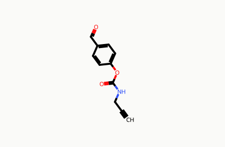 C#CCNC(=O)Oc1ccc(C=O)cc1